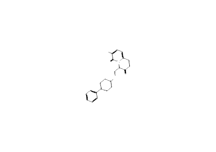 Cc1ccc2n(c1=O)C(COC1CCC(c3ccccc3)CC1)C(=O)CC2